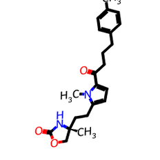 Cc1ccc(CCCC(=O)c2ccc(CC[C@]3(C)COC(=O)N3)n2C)cc1